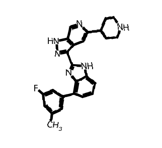 Cc1cc(F)cc(-c2cccc3[nH]c(-c4n[nH]c5cnc(C6CCNCC6)cc45)nc23)c1